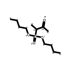 CCCCOP(=O)(OCCCC)C(C)C(C)=O